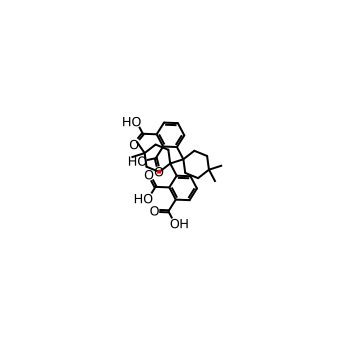 CC1(C)CCC(c2cccc(C(=O)O)c2C(=O)O)(C2(c3cccc(C(=O)O)c3C(=O)O)CCC(C)(C)CC2)CC1